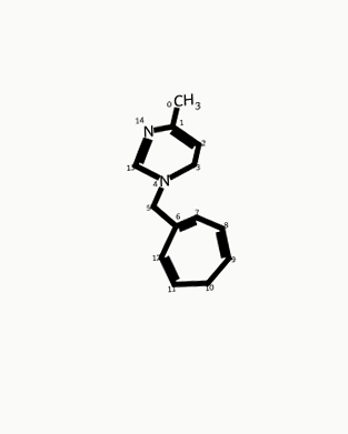 CC1=CCN(CC2=CC=CCC=C2)C=N1